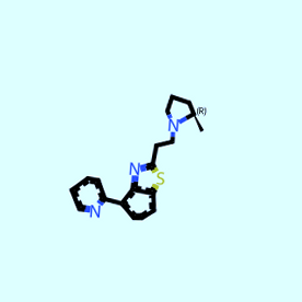 C[C@@H]1CCCN1CCc1nc2c(-c3ccccn3)cccc2s1